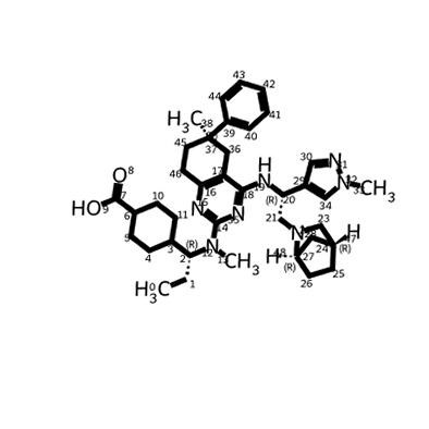 CC[C@H](C1CCC(C(=O)O)CC1)N(C)c1nc2c(c(N[C@@H](CN3C[C@@H]4CC[C@@H]3C4)c3cnn(C)c3)n1)C[C@](C)(c1ccccc1)CC2